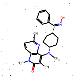 Cn1c(=O)c(C#N)c(N(C)[C@H]2CC[C@@H](/C(=N/O)c3ccccc3)CC2)c2nc(C#N)ccc21